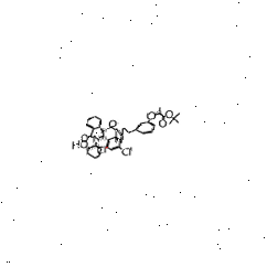 C[C@H](Oc1cccc(CCNC(=O)[C@@H]2c3ccccc3C(=O)N([C@H]3CCCC[C@@H]3O)[C@H]2c2ccc(Cl)cc2Cl)c1)C(=O)OC(C)(C)C